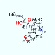 CC[C@](O)(CC#CC(C)(C)C)C(=O)O[C@@H]1C(OC)=C[C@]23CCCN2CCc2cc4c(cc2[C@H]13)OCO4